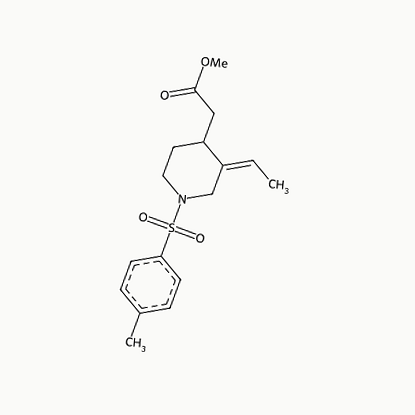 C/C=C1\CN(S(=O)(=O)c2ccc(C)cc2)CCC1CC(=O)OC